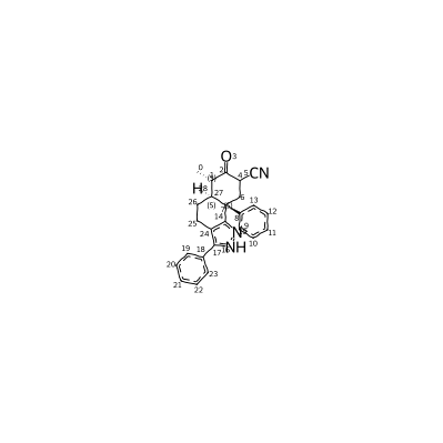 C[C@@H]1C(=O)C(C#N)C[C@]2(c3ccccc3)c3n[nH]c(-c4ccccc4)c3CC[C@@H]12